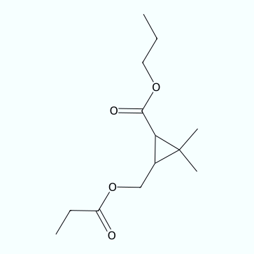 CCCOC(=O)C1C(COC(=O)CC)C1(C)C